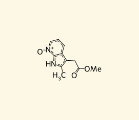 COC(=O)Cc1c(C)[nH]c2c1ccc[n+]2[O-]